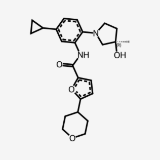 C[C@@]1(O)CCN(c2ccc(C3CC3)cc2NC(=O)c2ccc(C3CCOCC3)o2)C1